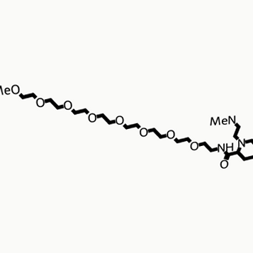 CNCCN1CCCCC1C(=O)NCCOCCOCCOCCOCCOCCOCCOCCOC